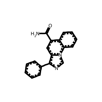 NC(=O)c1cc2c(-c3ccccc3)ncn2c2ccccc12